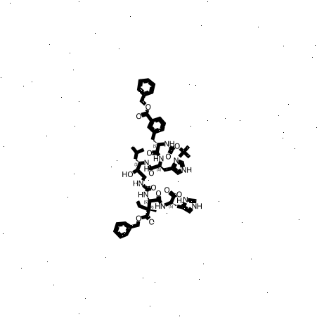 CC[C@@](C)(C(=O)OCc1ccccc1)[C@H](NC(=O)NCC(O)[C@H](CC(C)C)NC(=O)[C@H](Cc1c[nH]cn1)NC(=O)[C@H](Cc1cccc(C(=O)OCc2ccccc2)c1)NC(=O)OC(C)(C)C)C(=O)N[C@@H](Cc1c[nH]cn1)C(=O)O